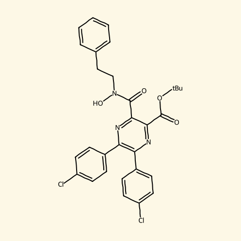 CC(C)(C)OC(=O)c1nc(-c2ccc(Cl)cc2)c(-c2ccc(Cl)cc2)nc1C(=O)N(O)CCc1ccccc1